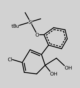 CC(C)(C)[Si](C)(C)Oc1ccccc1C1=CC(Cl)=CCC1(O)CO